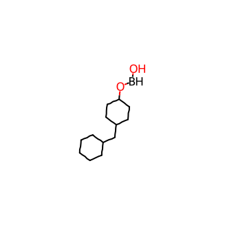 OBOC1CCC(CC2CCCCC2)CC1